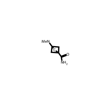 CNC12CC(C(N)=O)(C1)C2